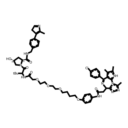 CC1=C(c2ccc(CNC(=O)[C@@H]3C[C@@H](O)CN3C(=O)C(NC(=O)COCCOCCOCCCCOc3ccc(NC(=O)CC4N=C(c5ccc(Cl)cc5)c5c([nH]c(C)c5C)-n5c(C)nnc54)cc3)C(C)(C)C)cc2)CC=N1